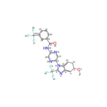 COC1C=c2nc(C(F)(F)F)n(-c3cnc(NC(=O)c4cccc(C(F)(F)F)c4)cn3)c2=CC1